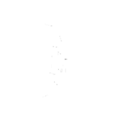 C=CCNC(=O)N[C@@H]1C(=O)N2C(C(=O)O)=C(COC(C)=O)CS[C@H]12